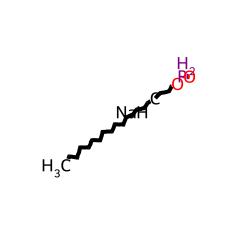 CCCCCCCCCCCCCCCCCCCCO[PH2]=O.[NaH]